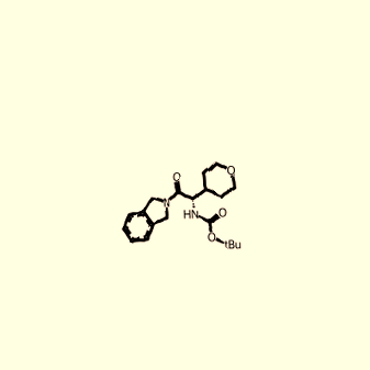 CC(C)(C)OC(=O)N[C@H](C(=O)N1Cc2ccccc2C1)C1CCOCC1